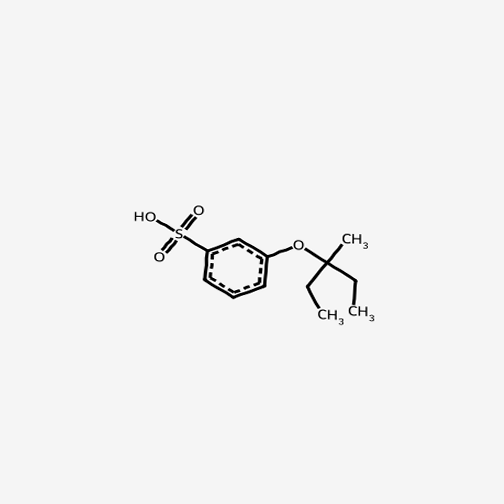 CCC(C)(CC)Oc1cccc(S(=O)(=O)O)c1